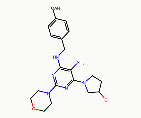 COc1ccc(CNc2nc(N3CCOCC3)nc(N3CCC(O)C3)c2N)cc1